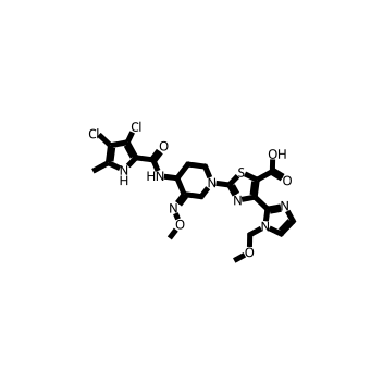 COCn1ccnc1-c1nc(N2CCC(NC(=O)c3[nH]c(C)c(Cl)c3Cl)C(=NOC)C2)sc1C(=O)O